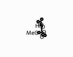 COc1ccc(C(CCCCC(=O)NOC(=O)CC(c2ccccc2)c2ccccc2)C2=C(C)C(=O)c3ccccc3C2=O)cc1